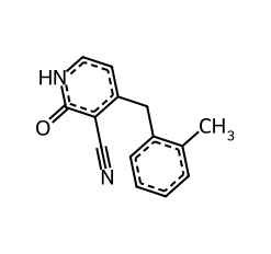 Cc1ccccc1Cc1cc[nH]c(=O)c1C#N